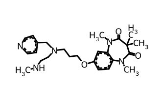 CNCCN(CCCOc1ccc2c(c1)N(C)C(=O)C(C)(C)C(=O)N2C)Cc1ccncc1